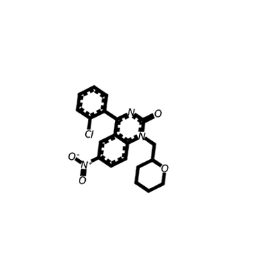 O=c1nc(-c2ccccc2Cl)c2cc([N+](=O)[O-])ccc2n1CC1CCCCO1